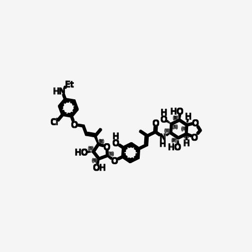 CCNc1ccc(OCC=C(C)[C@H]2O[C@@H](Oc3ccc(C=C(C)C(=O)N[C@@H]4[C@H](O)[C@@H](O)[C@H]5OCO[C@H]5[C@@H]4O)cc3O)[C@@H](O)[C@@H]2O)c(Cl)c1